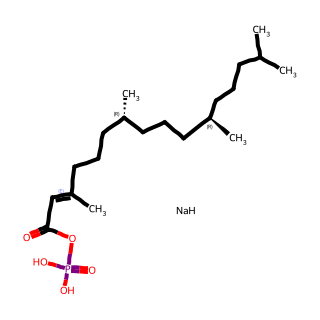 C/C(=C\C(=O)OP(=O)(O)O)CCC[C@H](C)CCC[C@H](C)CCCC(C)C.[NaH]